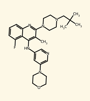 Cc1c(N2CCN(CC(C)(C)C)CC2)nc2cccc(F)c2c1Nc1cncc(N2CCOCC2)c1